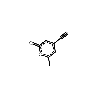 C#Cc1cc(C)oc(=O)c1